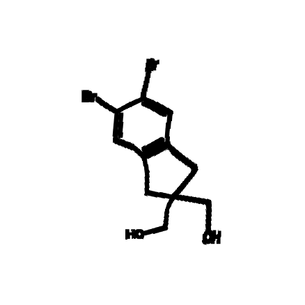 OCC1(CO)Cc2cc(Br)c(Br)cc2C1